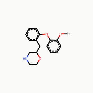 CCOc1ccccc1Oc1ccccc1CC1CNCCO1